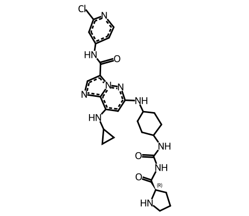 O=C(NC(=O)[C@H]1CCCN1)NC1CCC(Nc2cc(NC3CC3)c3ncc(C(=O)Nc4ccnc(Cl)c4)n3n2)CC1